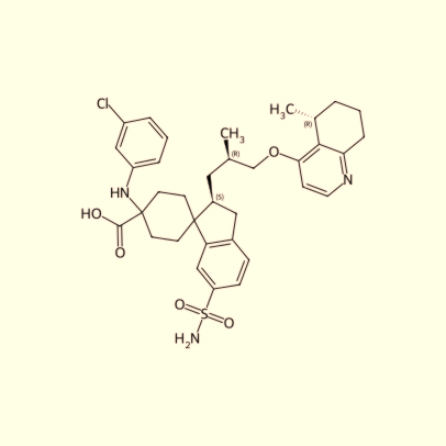 C[C@@H](COc1ccnc2c1[C@H](C)CCC2)C[C@H]1Cc2ccc(S(N)(=O)=O)cc2C12CCC(Nc1cccc(Cl)c1)(C(=O)O)CC2